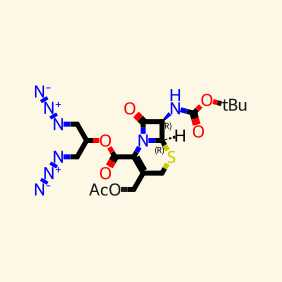 CC(=O)OCC1=C(C(=O)OC(CN=[N+]=[N-])CN=[N+]=[N-])N2C(=O)[C@@H](NC(=O)OC(C)(C)C)[C@H]2SC1